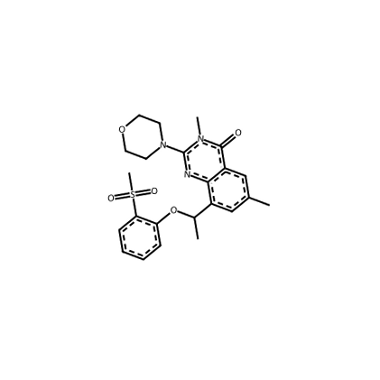 Cc1cc(C(C)Oc2ccccc2S(C)(=O)=O)c2nc(N3CCOCC3)n(C)c(=O)c2c1